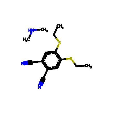 CCSc1cc(C#N)c(C#N)cc1SCC.CNC